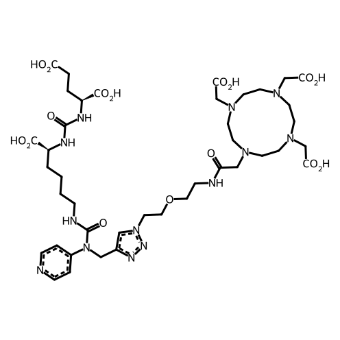 O=C(O)CC[C@H](NC(=O)N[C@@H](CCCCNC(=O)N(Cc1cn(CCOCCNC(=O)CN2CCN(CC(=O)O)CCN(CC(=O)O)CCN(CC(=O)O)CC2)nn1)c1ccncc1)C(=O)O)C(=O)O